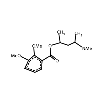 CNC(C)CC(C)OC(=O)c1cccc(OC)c1OC